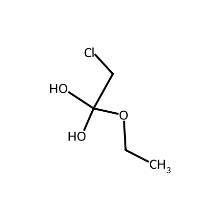 CCOC(O)(O)CCl